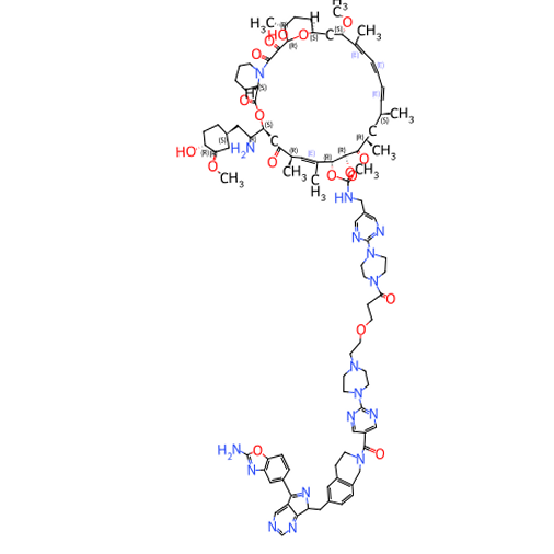 CO[C@H]1C[C@@H]2CC[C@@H](C)[C@@](O)(O2)C(=O)C(=O)N2CCCC[C@H]2C(=O)O[C@H]([C@H](N)C[C@@H]2CC[C@@H](O)[C@H](OC)C2)CC(=O)[C@H](C)/C=C(\C)[C@@H](OC(=O)NCc2cnc(N3CCN(C(=O)CCOCCN4CCN(c5ncc(C(=O)N6CCc7cc(CC8N=C(c9ccc%10oc(N)nc%10c9)c9cncnc98)ccc7C6)cn5)CC4)CC3)nc2)[C@@H](OC)C(=O)[C@H](C)C[C@H](C)/C=C/C=C/C=C/1C